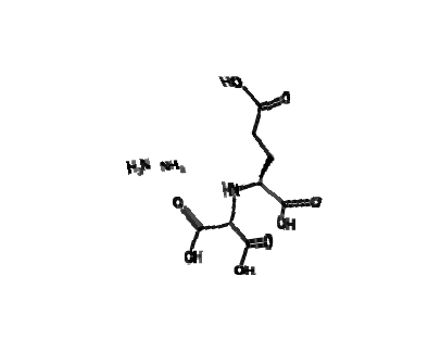 N.N.O=C(O)CC[C@H](NC(C(=O)O)C(=O)O)C(=O)O